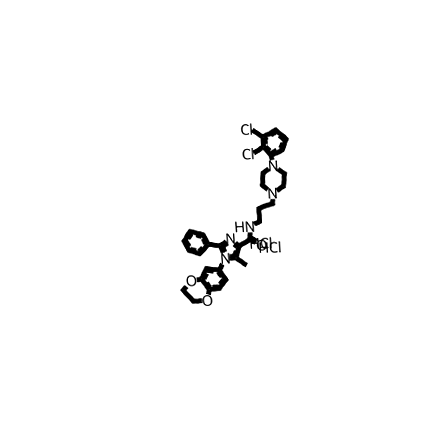 Cc1c(C(=O)NCCCN2CCN(c3cccc(Cl)c3Cl)CC2)nc(-c2ccccc2)n1-c1ccc2c(c1)OCCO2.Cl.Cl